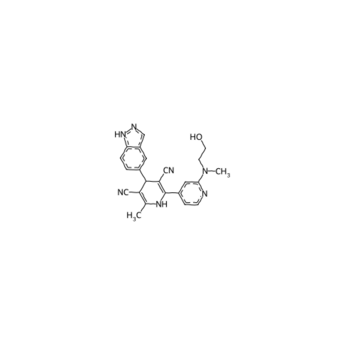 CC1=C(C#N)C(c2ccc3[nH]ncc3c2)C(C#N)=C(c2ccnc(N(C)CCO)c2)N1